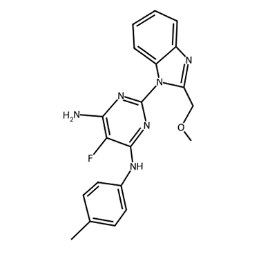 COCc1nc2ccccc2n1-c1nc(N)c(F)c(Nc2ccc(C)cc2)n1